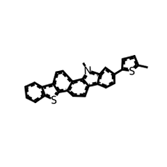 Cc1ccc(-c2ccc3c4ccc5c(ccc6c7ccccc7sc65)c4n(C)c3c2)s1